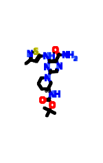 Cc1cc(Nc2nc(N3CCC[C@@H](NC(=O)OC(C)(C)C)C3)cnc2C(N)=O)sn1